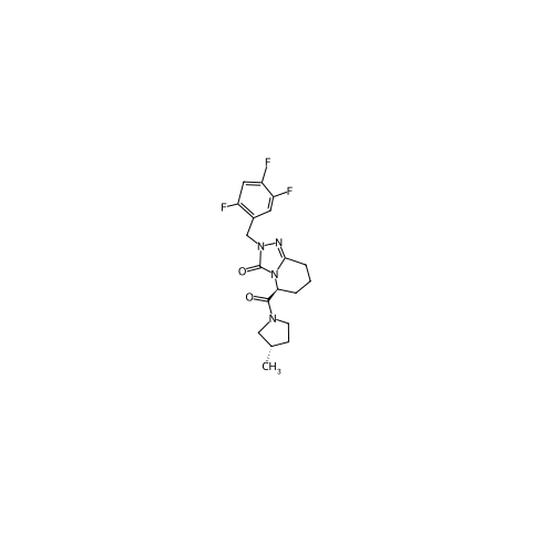 C[C@H]1CCN(C(=O)[C@@H]2CCCc3nn(Cc4cc(F)c(F)cc4F)c(=O)n32)C1